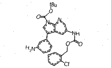 CC(C)(C)OC(=O)n1cc(-c2cccc(N)c2)c2cc(NC(=O)OCc3ccccc3Cl)cnc21